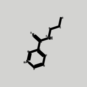 CCCNC(=S)c1cccnc1